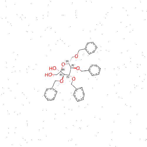 OC[C@@]1(O)O[C@H](COCc2ccccc2)[C@@H](OCc2ccccc2)[C@H](OCc2ccccc2)[C@H]1OCc1ccccc1